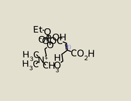 CCOP(=O)(O)OCC[N+](C)(C)C.O=C([O-])/C=C(\CCO)C(=O)O